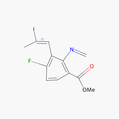 C=Nc1c(C(=O)OC)ccc(F)c1/C=C(\C)I